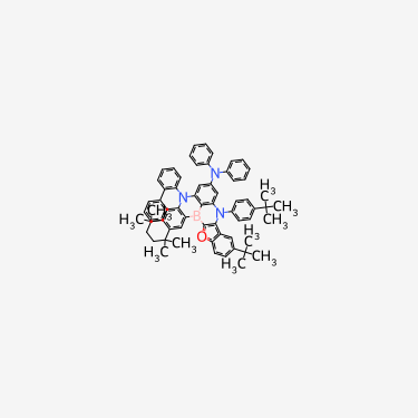 CC(C)(C)c1ccc(N2c3cc(N(c4ccccc4)c4ccccc4)cc4c3B(c3cc5c(cc3N4c3ccccc3-c3ccccc3)C(C)(C)CCC5(C)C)c3oc4ccc(C(C)(C)C)cc4c32)cc1